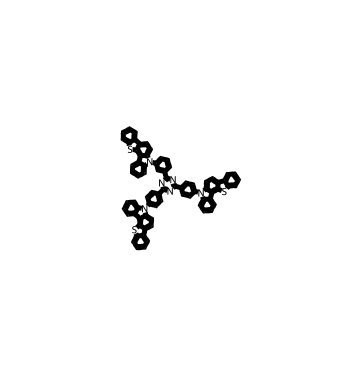 c1cc(-c2nc(-c3ccc(-n4c5ccccc5c5c6sc7ccccc7c6ccc54)cc3)nc(-c3ccc(-n4c5ccccc5c5c6sc7ccccc7c6ccc54)cc3)n2)cc(-n2c3ccccc3c3c4sc5ccccc5c4ccc32)c1